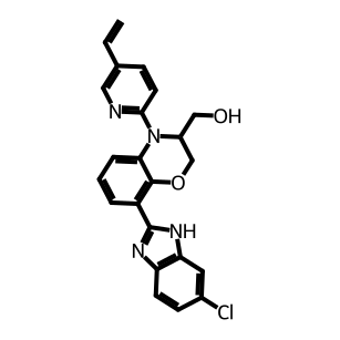 C=Cc1ccc(N2c3cccc(-c4nc5ccc(Cl)cc5[nH]4)c3OCC2CO)nc1